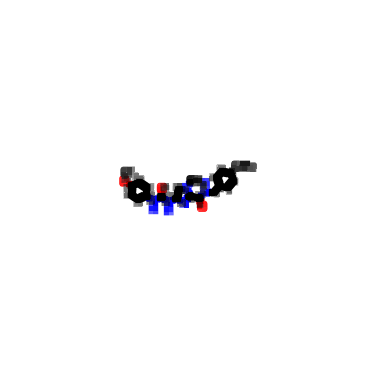 COc1ccc(CNC(=O)c2nc(NC(=O)Nc3ccc(OC(F)(F)F)cc3)cn2C)cc1